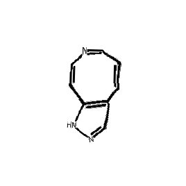 C1=C/c2cn[nH]c2\C=C/N=C\1